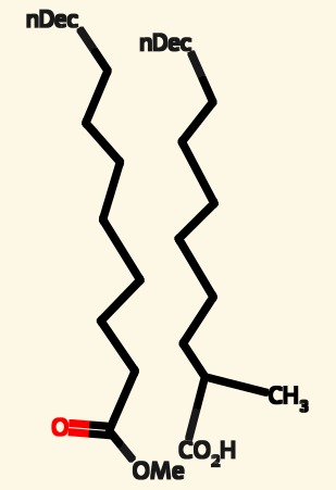 CCCCCCCCCCCCCCCCC(C)C(=O)O.CCCCCCCCCCCCCCCCCC(=O)OC